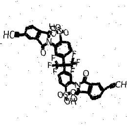 C#Cc1ccc2c(c1)C(=O)N(c1cc(C(c3ccc(S(=O)(=O)O)c(N4C(=O)c5ccc(C#C)cc5C4=O)c3)(C(F)(F)F)C(F)(F)F)ccc1S(=O)(=O)O)C2=O